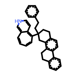 C1=CC2=CNC=CC2=C(C2(CCc3ccccc3)CCc3ccc4c(c3C2)CCc2ccccc2-4)C=C1